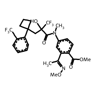 CON=C(C)c1cc(N(C)C(=O)C(O)(CC2(c3ccccc3C(F)(F)F)CCC2)C(F)(F)F)ccc1C(=O)OC